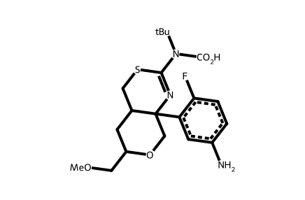 COCC1CC2CSC(N(C(=O)O)C(C)(C)C)=NC2(c2cc(N)ccc2F)CO1